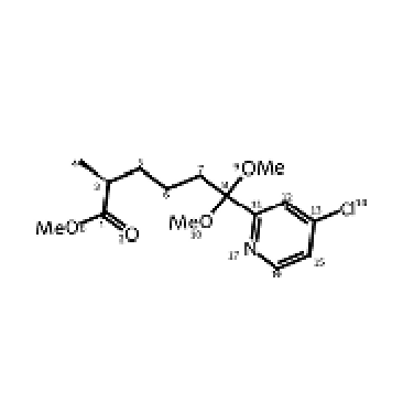 COC(=O)[C@@H](C)CCCC(OC)(OC)c1cc(Cl)ccn1